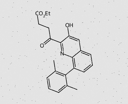 CCOC(=O)CCC(=O)c1nc2c(-c3c(C)cccc3C)cccc2cc1O